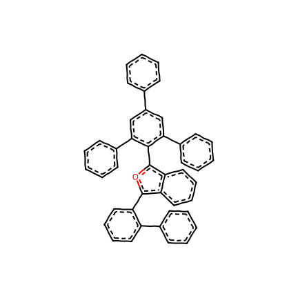 c1ccc(-c2cc(-c3ccccc3)c(-c3oc(-c4ccccc4-c4ccccc4)c4ccccc34)c(-c3ccccc3)c2)cc1